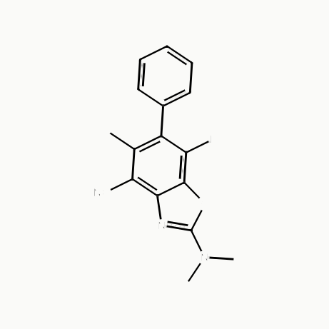 Cc1c(-c2ccccc2)c(F)c2oc(N(C)C)nc2c1C#N